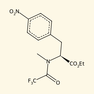 CCOC(=O)[C@H](Cc1ccc([N+](=O)[O-])cc1)N(C)C(=O)C(F)(F)F